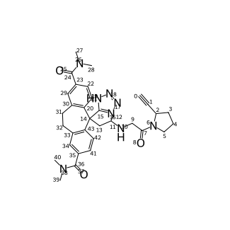 C#CC1CCCN1C(=O)CNC(C)CC1(c2nnn[nH]2)c2ccc(C(=O)N(C)C)cc2CCc2cc(C(=O)N(C)C)ccc21